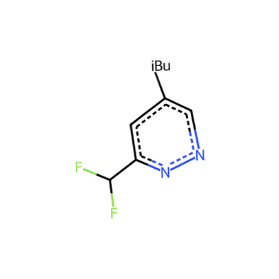 CCC(C)c1cnnc(C(F)F)c1